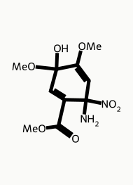 COC(=O)C1=CC(O)(OC)C(OC)=CC1(N)[N+](=O)[O-]